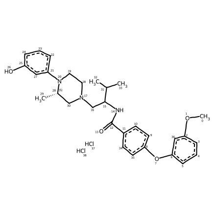 COc1cccc(Oc2ccc(C(=O)NC(CN3CCN(c4cccc(O)c4)[C@@H](C)C3)C(C)C)cc2)c1.Cl.Cl